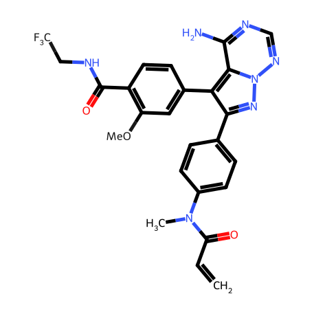 C=CC(=O)N(C)c1ccc(-c2nn3ncnc(N)c3c2-c2ccc(C(=O)NCC(F)(F)F)c(OC)c2)cc1